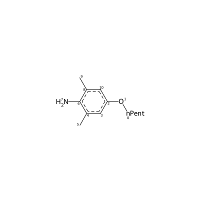 CCCCCOc1cc(C)c(N)c(C)c1